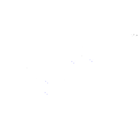 CCc1ccc2c(cnn2C2CCN(C(=O)NC3CCC(OC)CC3)CC2)c1